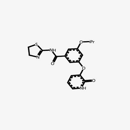 CC(C)Oc1cc(Oc2ccc[nH]c2=O)cc(C(=O)NC2=NCCS2)c1